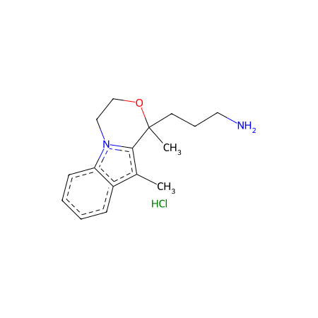 Cc1c2n(c3ccccc13)CCOC2(C)CCCN.Cl